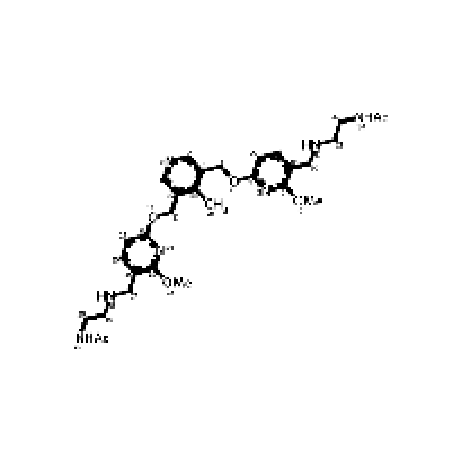 COc1nc(OCc2cncc(COc3ccc(CNCCNC(C)=O)c(OC)n3)c2C)ccc1CNCCNC(C)=O